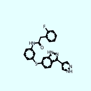 O=C(Cc1ccccc1F)Nc1cccc(Sc2ccc3c(-c4cn[nH]c4)n[nH]c3c2)c1